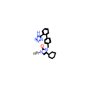 CCCn1cc(C2CCCCC2)n(Cc2ccc(-c3ccccc3-c3nnn[nH]3)cc2)c1=O